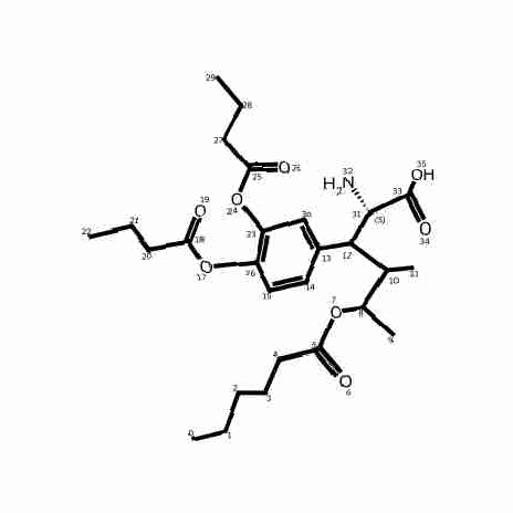 CCCCCC(=O)OC(C)C(C)C(c1ccc(OC(=O)CCC)c(OC(=O)CCC)c1)[C@H](N)C(=O)O